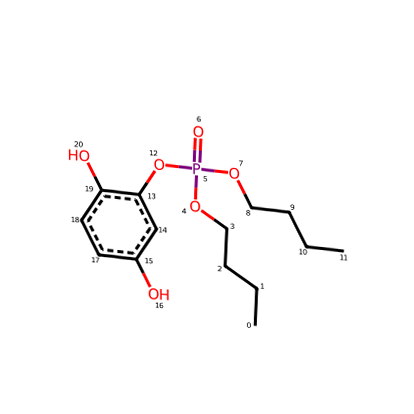 CCCCOP(=O)(OCCCC)Oc1cc(O)ccc1O